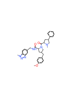 COc1ccc(CC2CC(C(=O)NCc3ccc4c(c3)nnn4C)N(C(=O)C3CC(c4ccccc4)CN3C)C2)cc1